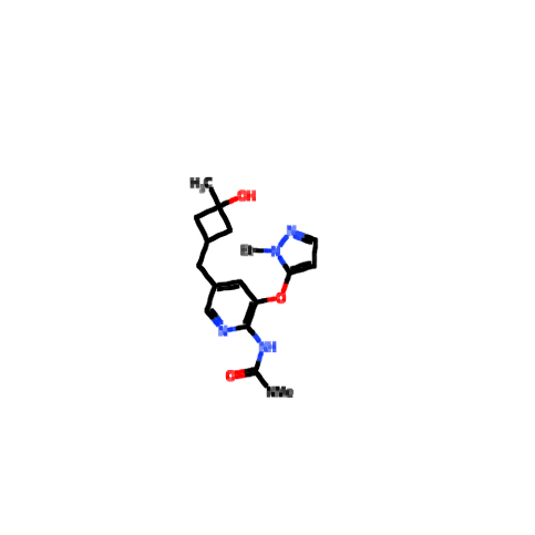 CCn1nccc1Oc1cc(CC2CC(C)(O)C2)cnc1NC(=O)NC